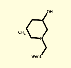 C.CCCCCCN1CCCC(O)C1